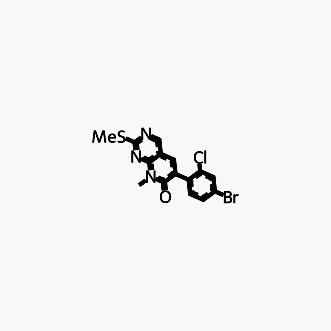 CSc1ncc2cc(-c3ccc(Br)cc3Cl)c(=O)n(C)c2n1